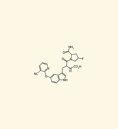 N#Cc1cccnc1Oc1ccc2[nH]cc(CC(NC(=O)O)C(=O)N3CC(F)CC3C(N)=O)c2c1